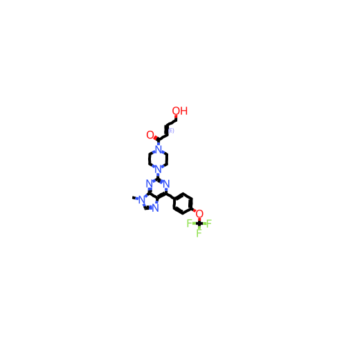 Cn1cnc2c(-c3ccc(OC(F)(F)F)cc3)nc(N3CCN(C(=O)/C=C/CO)CC3)nc21